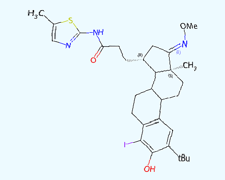 CO/N=C1\C[C@@H](CCC(=O)Nc2ncc(C)s2)C2C3CCc4c(cc(C(C)(C)C)c(O)c4I)C3CC[C@]12C